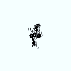 C[C@@H](NC(=O)c1c(N)nn2cccnc12)N1Cc2cccc(C#Cc3cnn(C)c3)c2C(=O)N1c1ccccc1